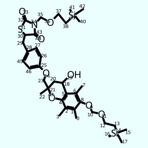 Cc1c(C)c2c(c(C)c1OCOCC[Si](C)(C)C)C(O)CC(C)(COc1ccc(CC3SC(=O)N(COCC[Si](C)(C)C)C3=O)cc1)O2